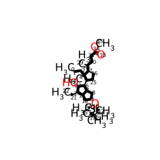 CCC[C@@]1(C)C([C@H]2C3CC(O[Si](C)(C)C(C)(C)C)CC3[C@@H](CC)[C@H]2O)CC[C@@H]1[C@H](C)CCC(=O)OC